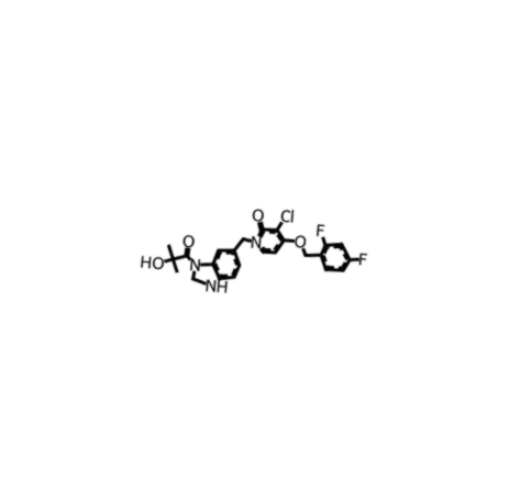 CC(C)(O)C(=O)N1CNc2ccc(Cn3ccc(OCc4ccc(F)cc4F)c(Cl)c3=O)cc21